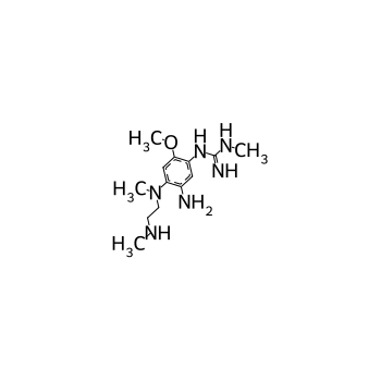 CNCCN(C)c1cc(OC)c(NC(=N)NC)cc1N